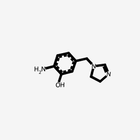 Nc1ccc(CN2C=NCC2)cc1O